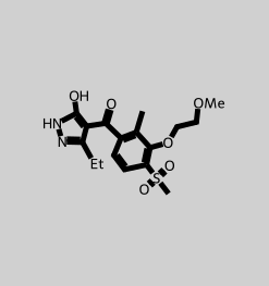 CCc1n[nH]c(O)c1C(=O)c1ccc(S(C)(=O)=O)c(OCCOC)c1C